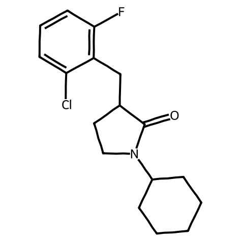 O=C1C(Cc2c(F)cccc2Cl)CCN1C1CCCCC1